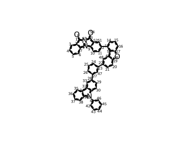 O=c1c2ccccc2n2c3ccc(-c4cccc5oc6ccc(-c7cccc(-c8ccc9c(c8)c8ccccc8n9-c8ccccc8)c7)cc6c45)cc3c(=O)n12